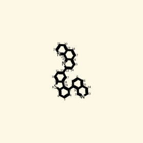 c1cc(-c2cccc3sc4ccc(-c5ccc6ccc7cccnc7c6n5)cc4c23)c2cnccc2c1